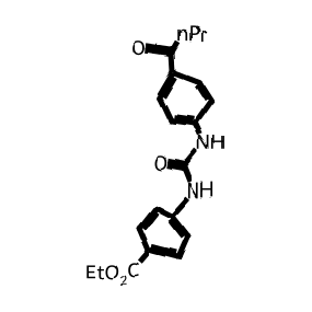 CCCC(=O)c1ccc(NC(=O)Nc2ccc(C(=O)OCC)cc2)cc1